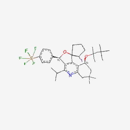 CC(C)c1nc2c(c3c1[C@@H](c1ccc(S(F)(F)(F)(F)F)cc1)OC31CCCC1I)[C@@H](OC(C)(C)C(C)(C)C)CC(C)(C)C2